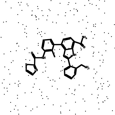 Cc1c(NC(=O)c2nccs2)cccc1-c1ccc(C(N)=O)c2[nH]c(-c3ccccc3CN)cc12